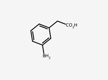 Bc1cccc(CC(=O)O)c1